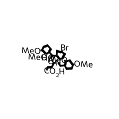 COc1ccc(CN(C(=O)C=CC(=O)O)c2ccc(Br)cc2C(O)c2cccc(OC)c2OC)c(OC)c1